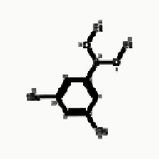 CCOB(OCC)c1cc(C(C)(C)C)cc(C(C)(C)C)c1